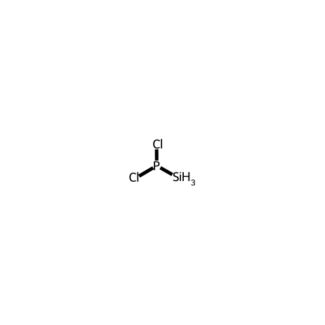 [SiH3]P(Cl)Cl